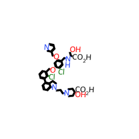 O=C(O)C(CO)NCc1cc(Cl)c(OCc2cccc(-c3cccc4c3CCN4CCCN3CCC(O)(C(=O)O)CC3)c2Cl)cc1OCc1cccnc1